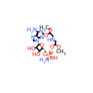 COC(=O)CNCC(=O)OC.Nc1ncnc2c1ncn2[C@@H]1O[C@H](COP(N)(=O)O)[C@@H](O)[C@H]1O